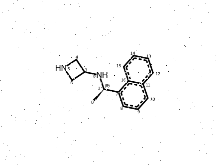 C[C@@H](NC1CNC1)c1cccc2ccccc12